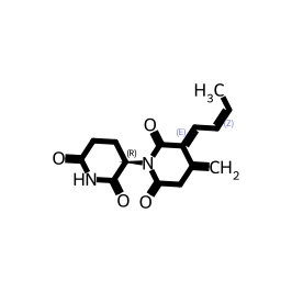 C=C1CC(=O)N([C@@H]2CCC(=O)NC2=O)C(=O)/C1=C/C=C\C